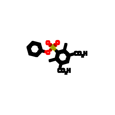 Cc1c(C(=O)O)cc(C(=O)O)c(C)c1S(=O)(=O)Oc1ccccc1